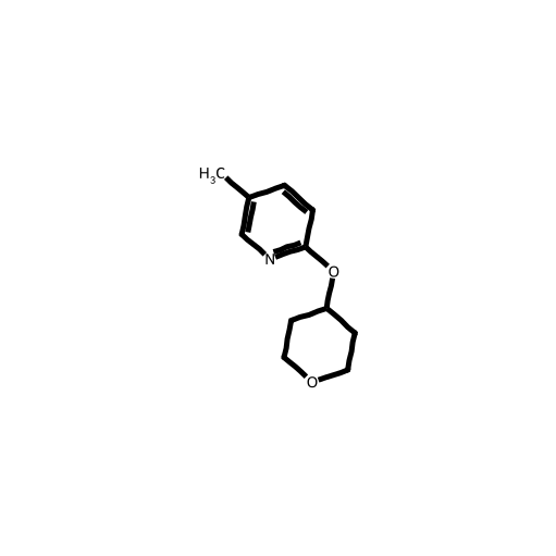 Cc1ccc(OC2CCOCC2)nc1